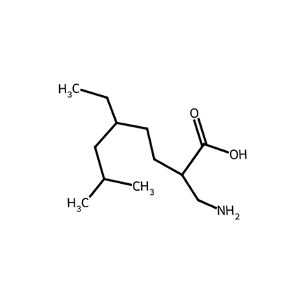 CCC(CCC(CN)C(=O)O)CC(C)C